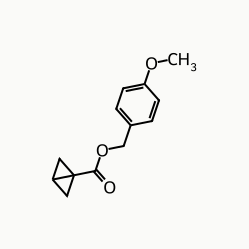 COc1ccc(COC(=O)C23CC2C3)cc1